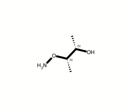 C[C@H](O)[C@H](C)ON